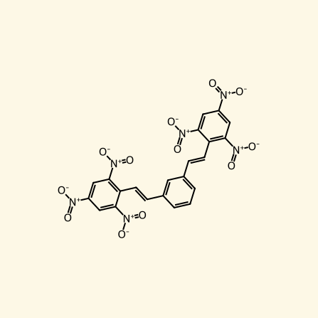 O=[N+]([O-])c1cc([N+](=O)[O-])c(C=Cc2cccc(C=Cc3c([N+](=O)[O-])cc([N+](=O)[O-])cc3[N+](=O)[O-])c2)c([N+](=O)[O-])c1